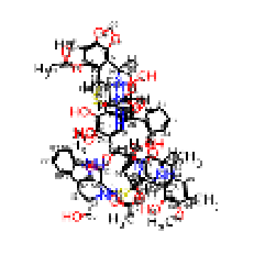 COc1c(C)cc2c(c1O)[C@H]1N[C@@H](C2)[C@H](O)N2[C@H]1[C@@H]1SC[C@]3(N[C@H](CO)Cc4c3oc3cccc(C5Oc6c(C)c(OC(C)=O)c7c(c6O5)[C@@H]5COC(=O)[C@]6(CS[C@H]7[C@H]7[C@@H]8N[C@@H](C(C)c9cc(C)c(OC)c(O)c98)[C@H](O)N75)N[C@H](CO)Cc5c6[nH]c6ccccc56)c43)C(=O)OC[C@H]2c2c3c(c(C)c(OC(C)=O)c21)OCO3